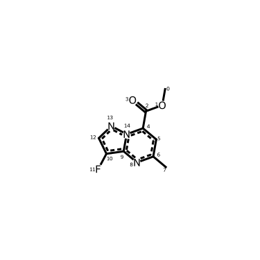 COC(=O)c1cc(C)nc2c(F)cnn12